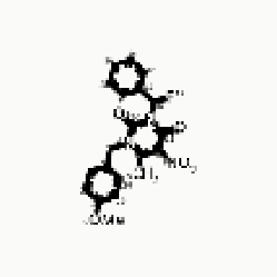 COc1ccc(Cn2c(C)c([N+](=O)[O-])c(=O)n(C(F)c3ccccc3)c2=O)cc1